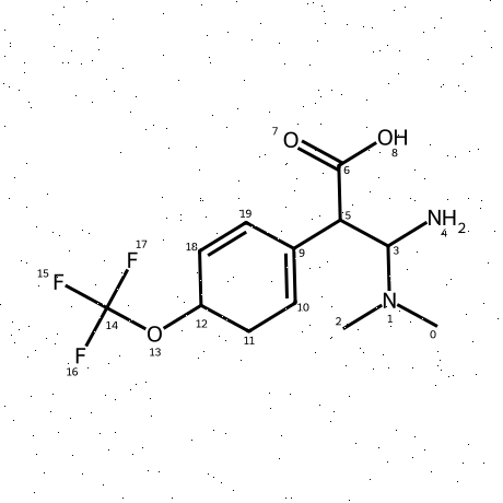 CN(C)C(N)C(C(=O)O)C1=CCC(OC(F)(F)F)C=C1